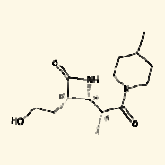 CC1CCN(C(=O)[C@H](C)[C@H]2NC(=O)[C@H]2CCO)CC1